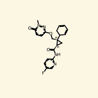 Cn1nc(OC[C@@]2(C3C=CC=CC3)C[C@H]2C(=O)Nc2ccc(F)cn2)ccc1=O